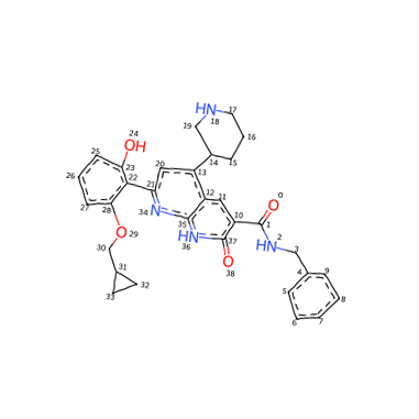 O=C(NCc1ccccc1)c1cc2c(C3CCCNC3)cc(-c3c(O)cccc3OCC3CC3)nc2[nH]c1=O